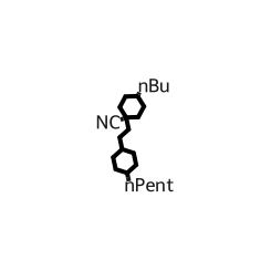 CCCCCC1CCC(CCC2(C#N)CCC(CCCC)CC2)CC1